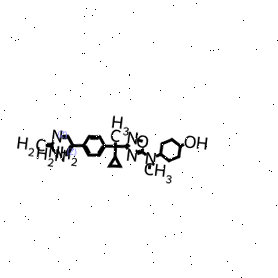 C=C(N)/N=C\C(=C/N)c1ccc(C(C)(c2noc(N(C)C3CCC(O)CC3)n2)C2CC2)cc1